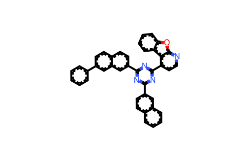 c1ccc(-c2ccc3ccc(-c4nc(-c5ccc6ccccc6c5)nc(-c5ccnc6oc7ccccc7c56)n4)cc3c2)cc1